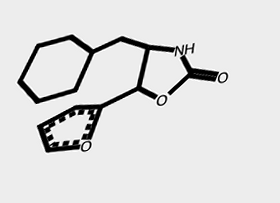 O=C1NC(CC2CCCCC2)C(c2ccco2)O1